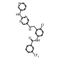 O=C(Nc1ccc(Cl)c(CNc2cnc(Nc3cccnc3)nc2)c1)c1cccc(C(F)(F)F)c1